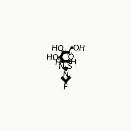 OC[C@H]1O[C@@H]2SC(N3CC(F)C3)=N[C@@H]2[C@@H](O)[C@H]1O